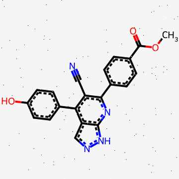 COC(=O)c1ccc(-c2nc3[nH]ncc3c(-c3ccc(O)cc3)c2C#N)cc1